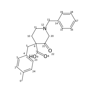 Cc1ccc(CC2(C(=O)O)CCN(Cc3ccccc3)CC2=O)cc1